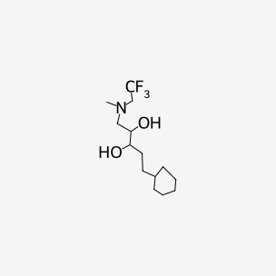 CN(CC(O)C(O)CCC1CCCCC1)CC(F)(F)F